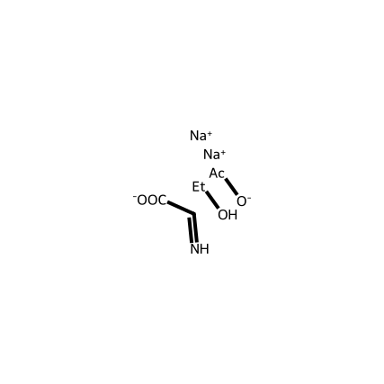 CC(=O)[O-].CCO.N=CC(=O)[O-].[Na+].[Na+]